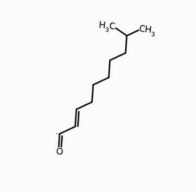 CC(C)CCCCCC=C[C]=O